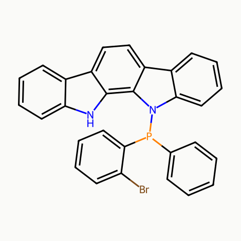 Brc1ccccc1P(c1ccccc1)n1c2ccccc2c2ccc3c4ccccc4[nH]c3c21